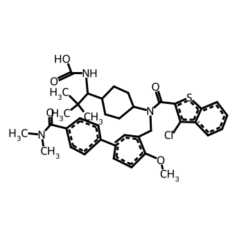 COc1ccc(-c2ccc(C(=O)N(C)C)cc2)cc1CN(C(=O)c1sc2ccccc2c1Cl)C1CCC(C(NC(=O)O)C(C)(C)C)CC1